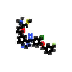 CSCC(c1ccc(-c2ccc3ncnc(Nc4ccc(OCc5cccc(F)c5)c(Cl)c4)c3c2)o1)N(C)C